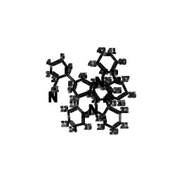 N#Cc1ccccc1-c1cc(-c2ccccc2-n2c3ccccc3c3ccccc32)cc(-n2c3ccccc3c3ccccc32)c1